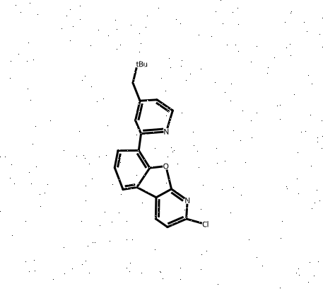 CC(C)(C)Cc1ccnc(-c2cccc3c2oc2nc(Cl)ccc23)c1